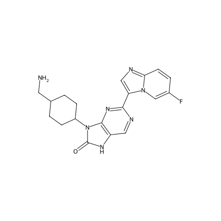 NCC1CCC(n2c(=O)[nH]c3cnc(-c4cnc5ccc(F)cn45)nc32)CC1